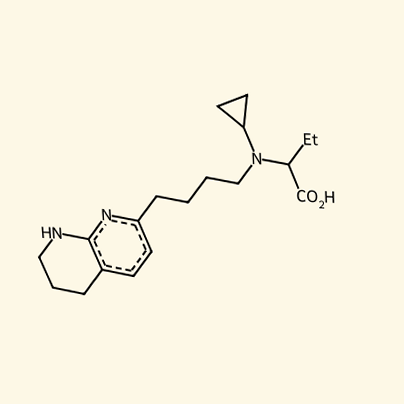 CCC(C(=O)O)N(CCCCc1ccc2c(n1)NCCC2)C1CC1